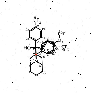 CCCOc1ccc(CN2C3CCCC2CC(C(O)(c2ccc(C(F)(F)F)cc2)c2ccc(C(F)(F)F)cc2)C3)cc1